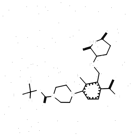 CC(C)(C)OC(=O)N1CCN(c2ccc(C(=O)O)c(CNC3CCC(=O)NC3=O)c2F)CC1